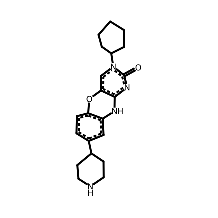 O=c1nc2c(cn1C1CCCCC1)Oc1ccc(C3CCNCC3)cc1N2